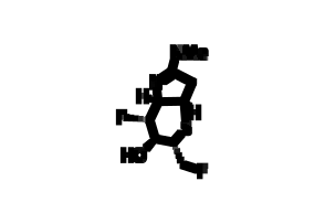 CNC1=N[C@@H]2[C@@H](F)[C@H](O)[C@@H](CF)S[C@@H]2C1